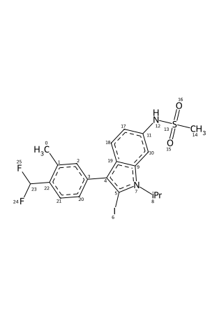 Cc1cc(-c2c(I)n(C(C)C)c3cc(NS(C)(=O)=O)ccc23)ccc1C(F)F